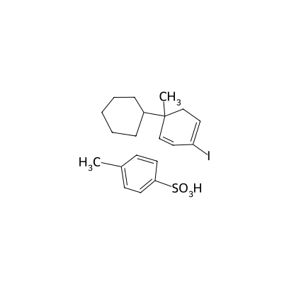 CC1(C2CCCCC2)C=CC(I)=CC1.Cc1ccc(S(=O)(=O)O)cc1